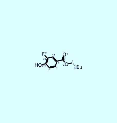 CC[C@@H](C)COC(=O)c1ccc(O)c(F)c1